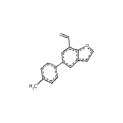 Cc1ccc(-c2cc(C=O)c3occc3c2)cc1